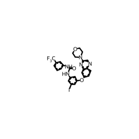 O=C(Nc1cc(I)cc(Oc2ccc3ncc(N4CCOCC4)nc3c2)c1)Nc1cccc(C(F)(F)F)c1